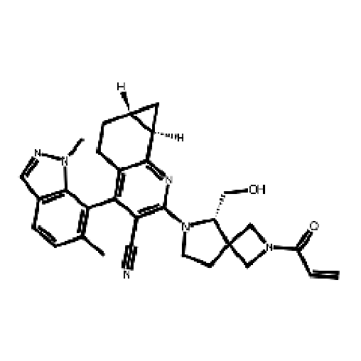 C=CC(=O)N1CC2(CCN(c3nc4c(c(-c5c(C)ccc6cnn(C)c56)c3C#N)CC[C@@H]3C[C@@H]43)[C@@H]2CO)C1